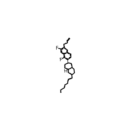 C=CCCc1cc2ccc([C@@H]3CC[C@@H]4CC(CCCCCCC)CCC4C3)c(F)c2cc1F